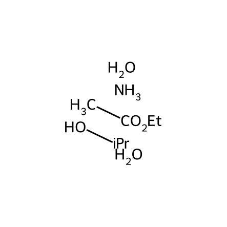 CC(C)O.CCOC(C)=O.N.O.O